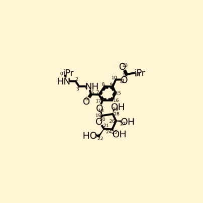 CC(C)NCCNC(=O)c1cc(COC(=O)C(C)C)ccc1O[C@@H]1O[C@H](CO)[C@@H](O)[C@H](O)[C@H]1O